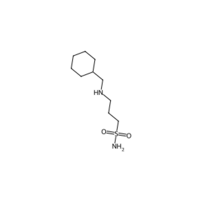 NS(=O)(=O)CCCNCC1CCCCC1